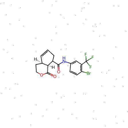 O=C(Nc1ccc(Br)c(C(F)(F)F)c1)C1CC=C[C@@H]2CCOC(=O)[C@H]12